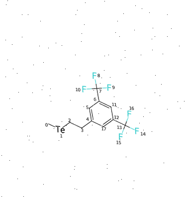 C[Te]CCc1cc(C(F)(F)F)cc(C(F)(F)F)c1